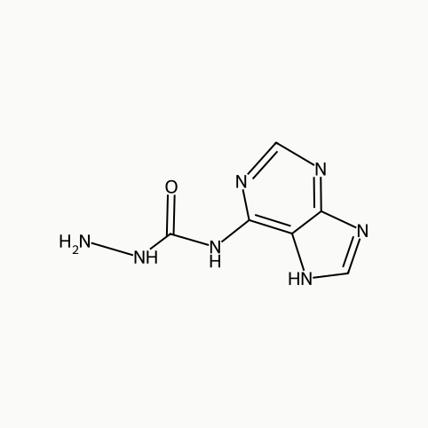 NNC(=O)Nc1ncnc2nc[nH]c12